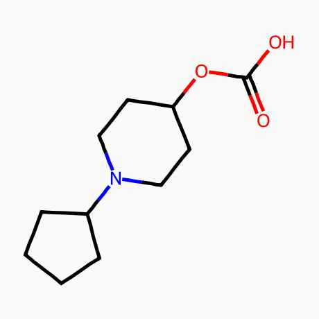 O=C(O)OC1CCN(C2CCCC2)CC1